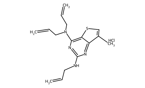 C=CCNc1nc(N(CC=C)CC=C)c2scc(C)c2n1.Cl